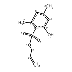 C=CCOS(=O)(=O)c1c(C)cc(C)cc1O